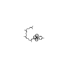 CC(C)=CCC/C(C)=C/CC/C(C)=C\CC/C(C)=C/COS(=O)(=O)c1ccc(C)cc1